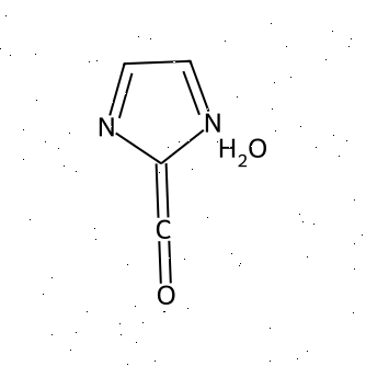 O.O=C=C1N=CC=N1